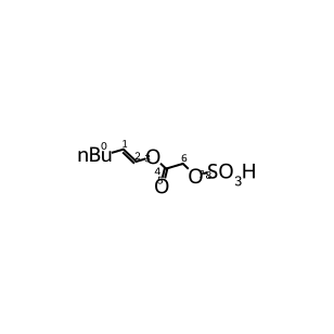 CCCCC=COC(=O)COS(=O)(=O)O